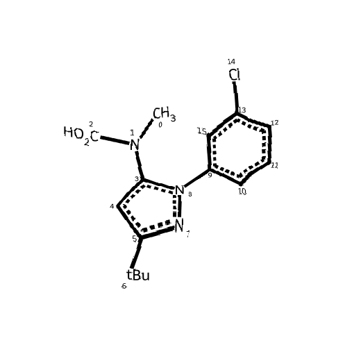 CN(C(=O)O)c1cc(C(C)(C)C)nn1-c1cccc(Cl)c1